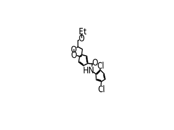 CCOCC1Cc2cc(C(=O)Nc3cc(Cl)ccc3Cl)ccc2OO1